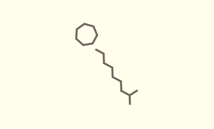 C1CCCCCC1.CCCCCCCC(C)C